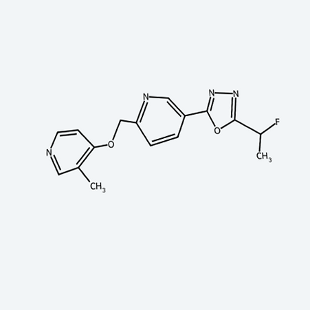 Cc1cnccc1OCc1ccc(-c2nnc(C(C)F)o2)cn1